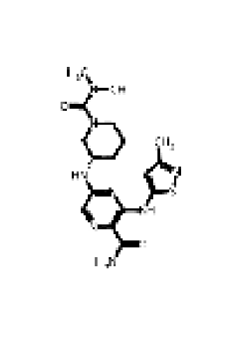 Cc1cc(Nc2nc(N[C@H]3CCCN(C(=O)N(C)C)C3)cnc2C(N)=O)sn1